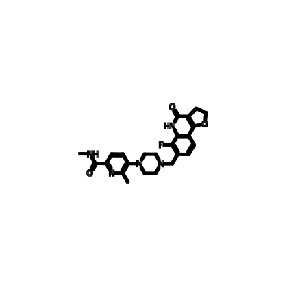 CNC(=O)c1ccc(N2CCN(Cc3ccc4c5c(c(=O)[nH]c4c3F)CCO5)CC2)c(C)n1